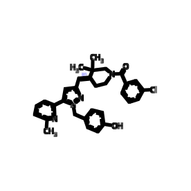 Cc1cccc(-c2cc(/C=C3\CCN(C(=O)c4cccc(Cl)c4)CC3(C)C)nn2Cc2ccc(O)cc2)n1